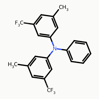 Cc1cc(N(c2ccccc2)c2cc(C)cc(C(F)(F)F)c2)cc(C(F)(F)F)c1